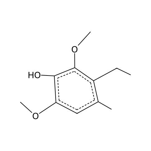 CCc1c(C)cc(OC)c(O)c1OC